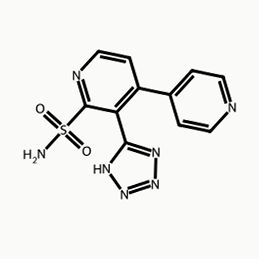 NS(=O)(=O)c1nccc(-c2ccncc2)c1-c1nnn[nH]1